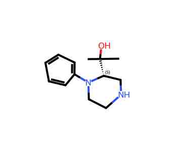 CC(C)(O)[C@@H]1CNCCN1c1ccccc1